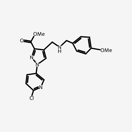 COC(=O)c1nn(-c2ccc(Cl)nc2)cc1CNCc1ccc(OC)cc1